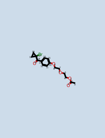 CC(=O)OCCOCCOc1ccc(C(=O)C2(Br)CC2)cc1